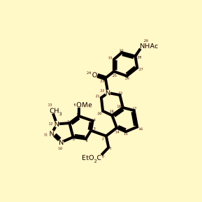 CCOC(=O)CC(c1cc(OC)c2c(c1)nnn2C)c1cccc2c1CCN(C(=O)c1ccc(NC(C)=O)cc1)C2